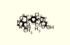 CNc1ncnc2c1C(=O)N(c1cc(C)c(N3CCN(CC(=O)O)C3=O)c(Cl)c1)CCO2